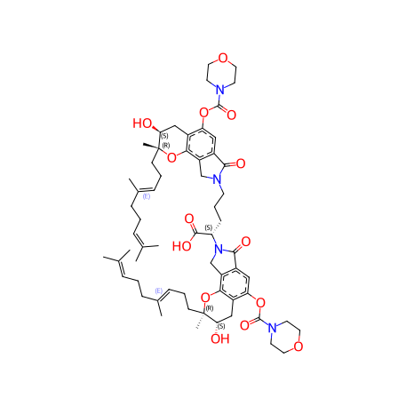 CC(C)=CCC/C(C)=C/CC[C@@]1(C)Oc2c(c(OC(=O)N3CCOCC3)cc3c2CN(CCC[C@@H](C(=O)O)N2Cc4c(cc(OC(=O)N5CCOCC5)c5c4O[C@](C)(CC/C=C(\C)CCC=C(C)C)[C@@H](O)C5)C2=O)C3=O)C[C@@H]1O